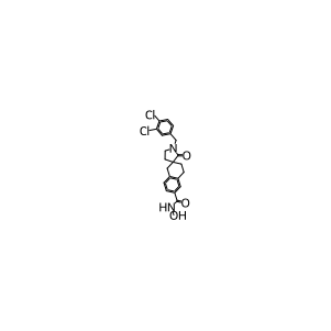 O=C(NO)c1ccc2c(c1)CCC1(CCN(Cc3ccc(Cl)c(Cl)c3)C1=O)C2